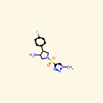 Cn1cc(S(=O)(=O)N2CC(N)C(c3ccc(F)cc3)C2)nn1